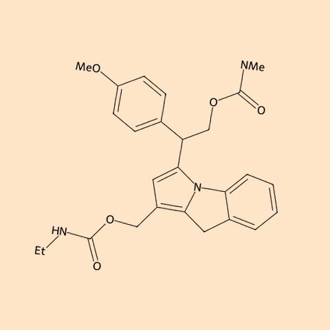 CCNC(=O)OCc1cc(C(COC(=O)NC)c2ccc(OC)cc2)n2c1Cc1ccccc1-2